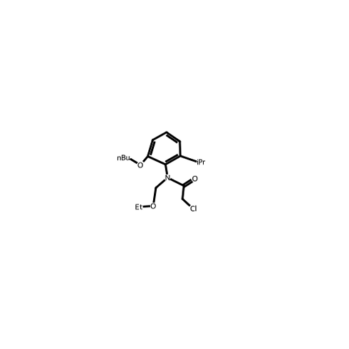 CCCCOc1cccc(C(C)C)c1N(COCC)C(=O)CCl